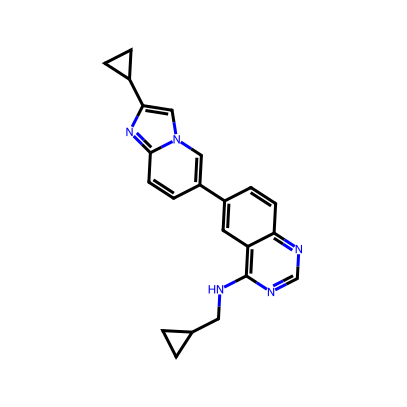 c1nc(NCC2CC2)c2cc(-c3ccc4nc(C5CC5)cn4c3)ccc2n1